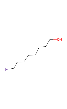 OCCCCCCCCI